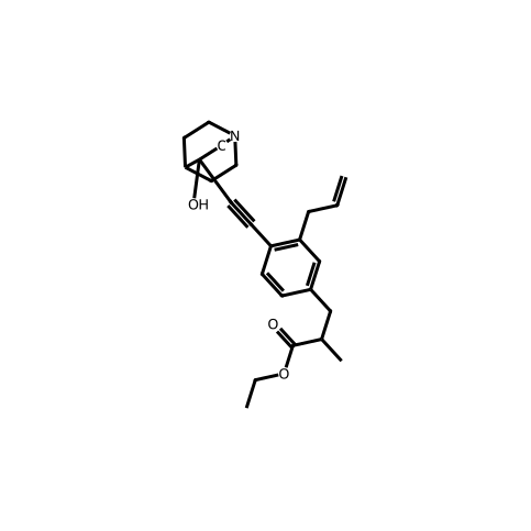 C=CCc1cc(CC(C)C(=O)OCC)ccc1C#CC1(O)CN2CCC1CC2